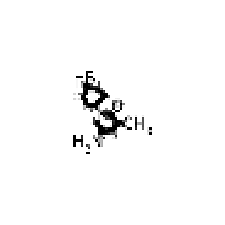 Cc1cc(N)cn(C2CCC(F)(F)CC2)c1=O